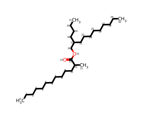 CCCCCCCCCCCC(C)C(=O)OCC(CCCC)CCCCCCCCC